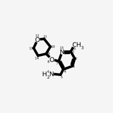 Cc1ccc(CN)c(OC2CCOCC2)n1